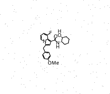 COc1ccc(Cc2cc(C(=O)N[C@H]3CCCC[C@@H]3O)c3c(F)cccn23)cc1